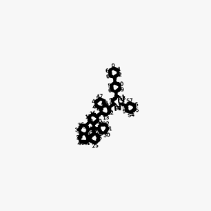 c1ccc(-c2ccc(-c3cc(-c4ccc(-c5ccc6c(c5)C(c5ccccc5)(c5ccccc5)c5c-6ccc6ccccc56)c5ccccc45)nc(-c4ccccc4)n3)cc2)cc1